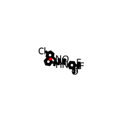 COc1cc(NC(=O)N2CC(C)(c3ccccc3)C(c3ccc(Cl)cc3)=N2)ccc1C(F)(F)F